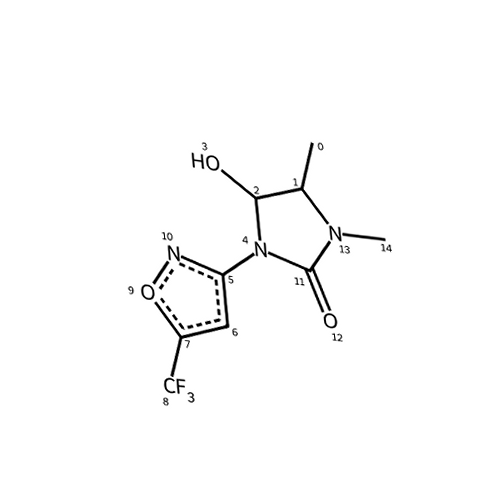 CC1C(O)N(c2cc(C(F)(F)F)on2)C(=O)N1C